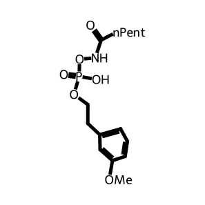 CCCCCC(=O)NOP(=O)(O)OCCc1cccc(OC)c1